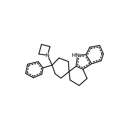 c1ccc(C2(N3CCC3)CCC3(CCCc4c3[nH]c3ccccc43)CC2)cc1